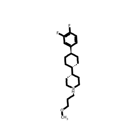 COCCC[Si@H]1CC[C@H]([C@H]2CC[C@H](c3ccc(F)c(F)c3)CC2)CC1